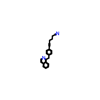 N#CCCCC#Cc1ccc(Cc2nccc3ccccc23)cc1